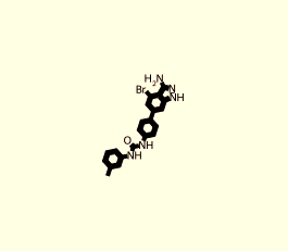 Cc1cccc(NC(=O)Nc2ccc(-c3cc(Br)c4c(N)n[nH]c4c3)cc2)c1